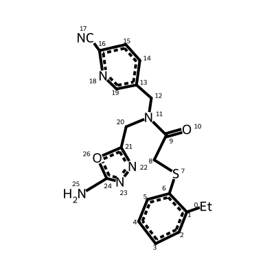 CCc1ccccc1SCC(=O)N(Cc1ccc(C#N)nc1)Cc1nnc(N)o1